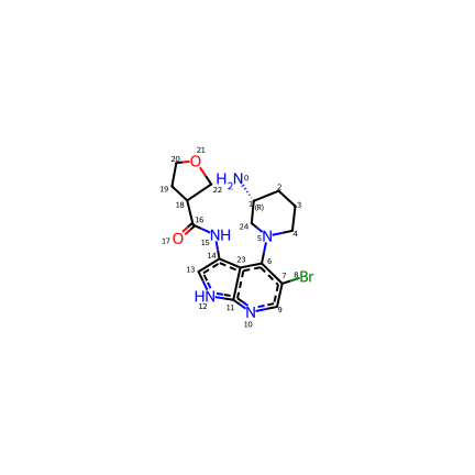 N[C@@H]1CCCN(c2c(Br)cnc3[nH]cc(NC(=O)C4CCOC4)c23)C1